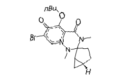 CCCCOc1c2n(cc(Br)c1=O)N(C)C1(CC[C@@H]3CC31)N(C)C2=O